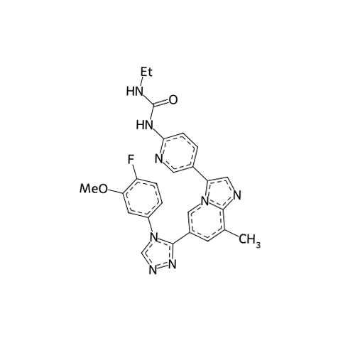 CCNC(=O)Nc1ccc(-c2cnc3c(C)cc(-c4nncn4-c4ccc(F)c(OC)c4)cn23)cn1